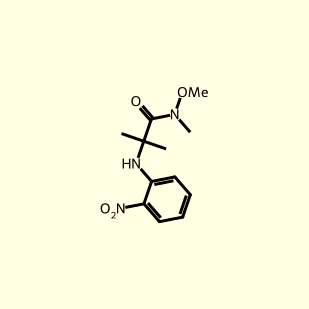 CON(C)C(=O)C(C)(C)Nc1ccccc1[N+](=O)[O-]